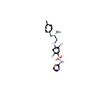 CN[C@H](CNc1cc(F)c(S(=O)(=O)Nc2nccs2)cc1Cl)Cc1ccc(C)cc1